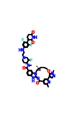 Cc1cc2cc(n1)-c1cnn(C)c1OCCC[C@@H](C)CN1/C(=N/C2=O)Nc2ccc(C(=O)N(C)[C@H]3CCN(CCNc4cc(F)c([C@H]5CCC(=O)NC5=O)c(F)c4)C[C@H]3F)cc21